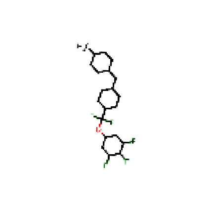 CC1CCC(CC2CCC(C(F)(F)OC3CC(F)C(F)C(F)C3)CC2)CC1